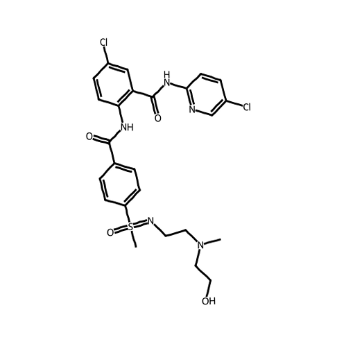 CN(CCO)CCN=S(C)(=O)c1ccc(C(=O)Nc2ccc(Cl)cc2C(=O)Nc2ccc(Cl)cn2)cc1